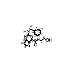 C[C@H](Nc1nc(C(=O)NCCO)c2sccc2n1)c1ccccn1